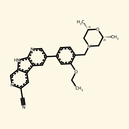 CCOc1cc(-c2cnc3[nH]c4cnc(C#N)cc4c3c2)ccc1CN1C[C@@H](C)O[C@@H](C)C1